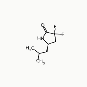 CC(C)C[C@@H]1CC(F)(F)C(=O)N1